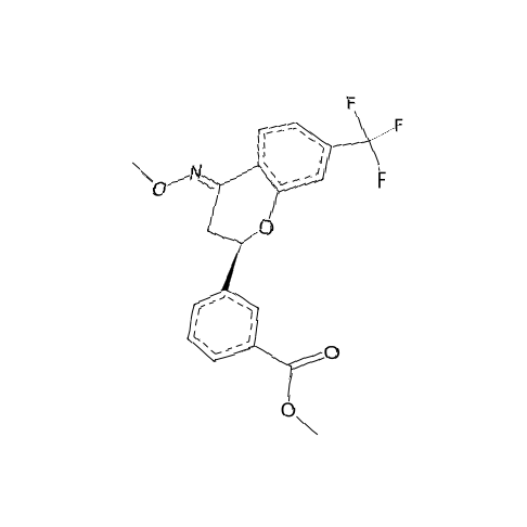 CON=C1C[C@H](c2cccc(C(=O)OC)c2)Oc2cc(C(F)(F)F)ccc21